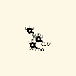 O=C([O-])Cc1ccc(F)c(F)c1F.O=C([O-])Cc1ccc(F)c(F)c1F.O=C([O-])Cc1ccc(F)c(F)c1F.[Ce+3]